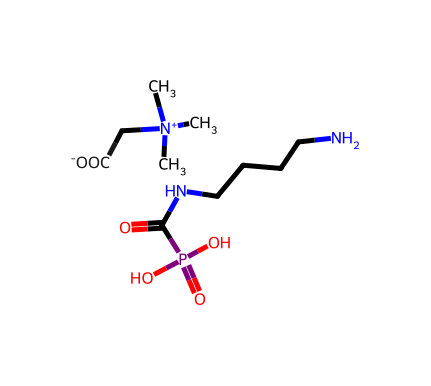 C[N+](C)(C)CC(=O)[O-].NCCCCNC(=O)P(=O)(O)O